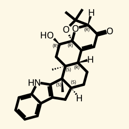 CC1(C)O[C@]23O[C@H]1C(=O)C=C2[C@@H]1CC[C@H]2Cc4c([nH]c5ccccc45)[C@]2(C)[C@@]1(C)C[C@H]3O